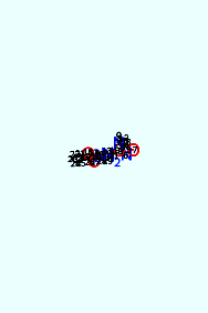 Cc1ccc(C(N)=O)c(OCCN2CCN(C3=COC(C4=CC=CCC4)=CO3)CC2)n1